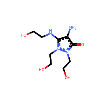 Nc1c(NCCO)n(CCO)n(CCO)c1=O